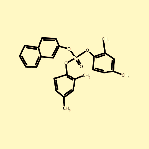 Cc1ccc(OP(=O)(Oc2ccc3ccccc3c2)Oc2ccc(C)cc2C)c(C)c1